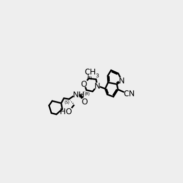 C[C@@H]1CN(c2ccc(C#N)c3ncccc23)C[C@H](C(=O)N[C@H](CO)CC2CCCCC2)O1